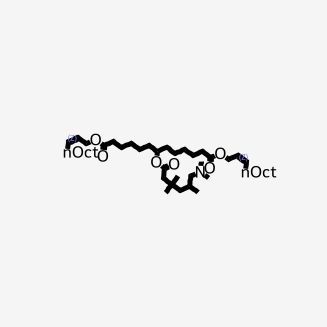 CCCCCCCC/C=C\COC(=O)CCCCCC(CCCCCC(=O)OC/C=C\CCCCCCCC)OC(=O)CC(C)(C)CC(C)CN(C)C